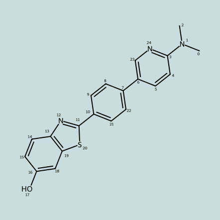 CN(C)c1ccc(-c2ccc(-c3nc4ccc(O)cc4s3)cc2)cn1